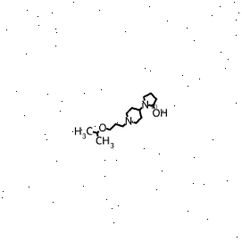 CC(C)OCCCN1CCC(N2CCC[C@H]2O)CC1